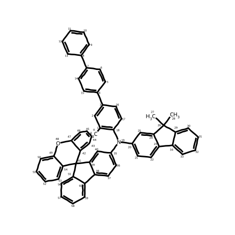 Cc1cc(-c2ccc(-c3ccccc3)cc2)ccc1N(c1ccc2c(c1)C(C)(C)c1ccccc1-2)c1ccc2c(c1)C1(c3ccccc3Oc3ccccc31)c1ccccc1-2